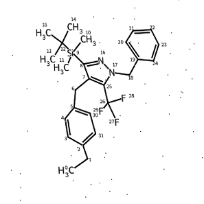 CCc1ccc(Cc2c([Si](C)(C)C(C)(C)C)nn(Cc3ccccc3)c2C(F)(F)F)cc1